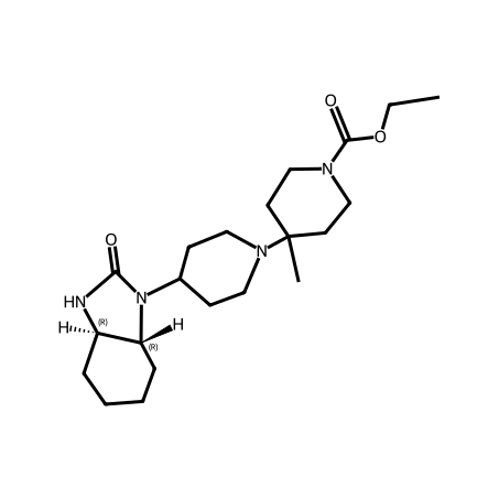 CCOC(=O)N1CCC(C)(N2CCC(N3C(=O)N[C@@H]4CCCC[C@H]43)CC2)CC1